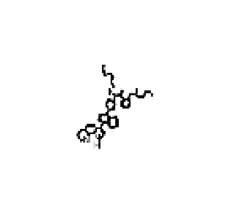 C=C(/C(=N\CC/C=C\C=C/C)c1ccc(-c2ccc(C3=CCNC4=C3C=CC3C=CC=NC43)c3ccccc23)cc1)c1ccccc1CC(C)/C=C\C=C/C